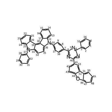 c1ccc(-c2nc(-c3ccc(-n4c5ccccc5c5c6c7ccccc7n(-c7ccccc7)c6ccc54)cc3)nc(-c3ccc4oc5ccccc5c4c3)n2)cc1